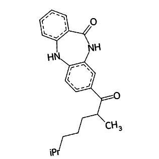 CC(C)CCCC(C)C(=O)c1ccc2c(c1)NC(=O)c1ccccc1N2